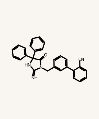 N#Cc1ccccc1-c1cccc(CN2C(=N)NC(c3ccccc3)(c3ccccc3)C2=O)c1